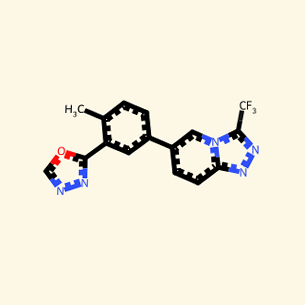 Cc1ccc(-c2ccc3nnc(C(F)(F)F)n3c2)cc1-c1nnco1